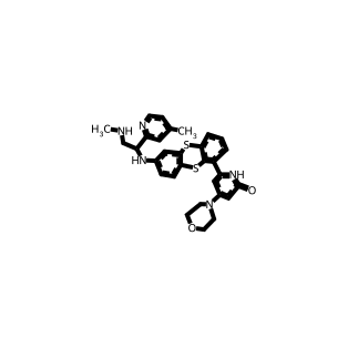 CNCC(Nc1ccc2c(c1)Sc1cccc(-c3cc(N4CCOCC4)cc(=O)[nH]3)c1S2)c1cc(C)ccn1